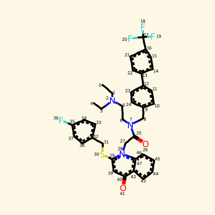 CCN(CC)CCN(Cc1ccc(-c2ccc(C(F)(F)F)cc2)cc1)C(=O)Cn1c(SCc2ccc(F)cc2)cc(=O)c2ccccc21